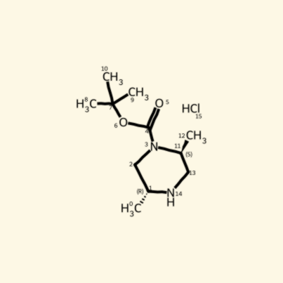 C[C@@H]1CN(C(=O)OC(C)(C)C)[C@@H](C)CN1.Cl